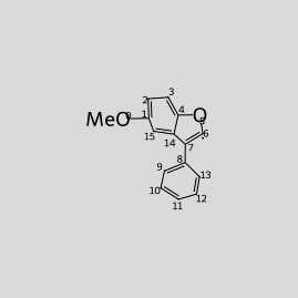 COc1ccc2o[c]c(-c3ccccc3)c2c1